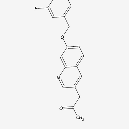 CC(=O)Cc1cnc2cc(OCc3cccc(F)c3)ccc2c1